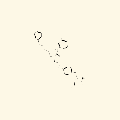 CCOC(Cc1ccc(OCCN(CCCOCc2ccccc2)C(=O)Nc2ccc(F)c(F)c2)cc1)C(=O)O